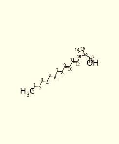 CCCCCCCCCC=CC=C[C@H]1CC[C@H]1CO